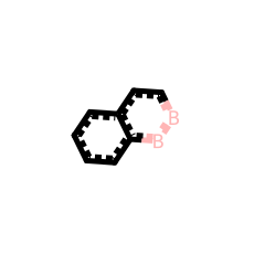 b1bc2ccccc2cc1